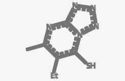 CCc1c(C)nc2nnnn2c1S